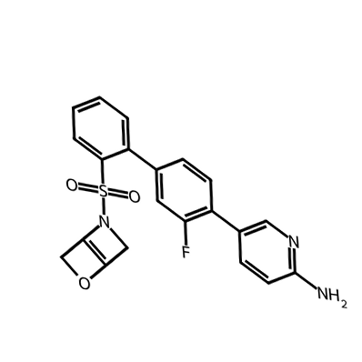 Nc1ccc(-c2ccc(-c3ccccc3S(=O)(=O)N3CC4=C3CO4)cc2F)cn1